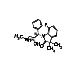 CNC[C@@H](O)[C@H](c1ccccc1)N1C(=O)C(C)(C)c2cccc(F)c21